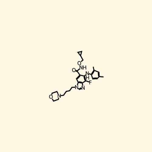 Cc1ccc(Nc2c(C(=O)NOCC3CC3)cc3c(ncn3CCCCN3CCOCC3)c2F)c(C)c1